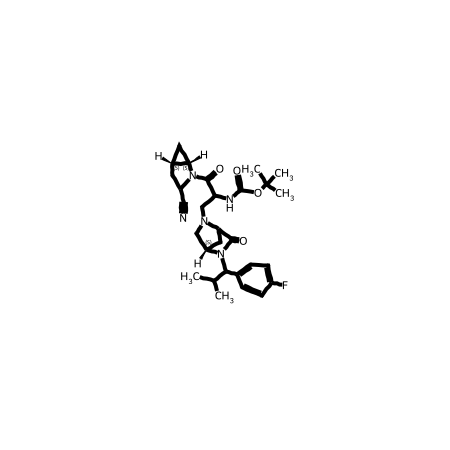 CC(C)C(c1ccc(F)cc1)N1C(=O)C2C[C@H]1CN2CC(NC(=O)OC(C)(C)C)C(=O)N1C(C#N)C[C@@H]2C[C@@H]21